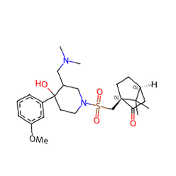 COc1cccc(C2(O)CCN(S(=O)(=O)C[C@]34CC[C@@H](CC3=O)C4(C)C)CC2CN(C)C)c1